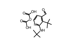 CC(C)(C)Nc1nccc(C=O)c1C(C)(C)C.O=C(O)OC(=O)O